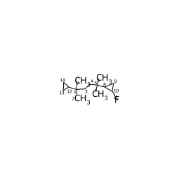 CC(C)(CCC(C)(C)C1CC1F)C1CC1